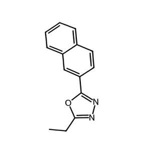 CCc1nnc(-c2ccc3ccccc3c2)o1